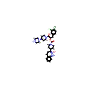 O=C(OC(Cc1ccc(Cl)c(Cl)c1)C(=O)N1CCC(N2CCNCC2)CC1)N1CCC(C2=[N+]([O-])Nc3ccccc3CC2)CC1